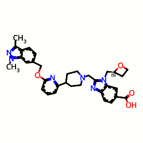 Cc1nn(C)c2cc(COc3cccc(C4CCN(Cc5nc6ccc(C(=O)O)cc6n5C[C@@H]5CCO5)CC4)n3)ccc12